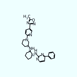 Cc1nc(-c2ccc(N3CCC[C@H](N[C@@H]4CCCC[C@H]4Nc4nccc(-c5ccccc5)n4)C3)nc2)no1